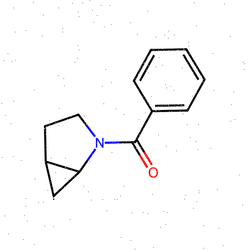 O=C(c1ccccc1)N1CCC2[CH]C21